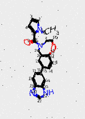 Cn1cccc1C(=O)N1CCOc2ccc(-c3ccc4nc[nH]c4c3)cc2C1